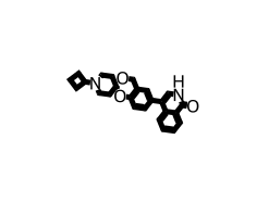 O=c1[nH]cc(-c2ccc3c(c2)COC2(CCN(C4CCC4)CC2)O3)c2ccccc12